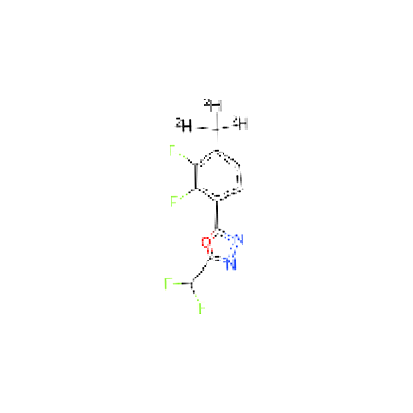 [2H]C([2H])([2H])c1ccc(-c2nnc(C(F)F)o2)c(F)c1F